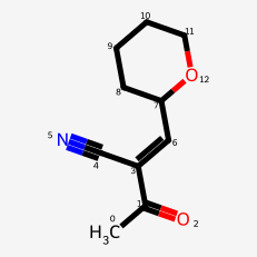 CC(=O)/C(C#N)=C/C1CCCCO1